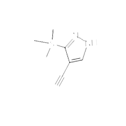 C#Cc1c[nH]nc1[Si](C)(C)C